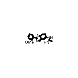 COc1ccccc1-c1ncc2cc(NC(C)=N)ccc2n1